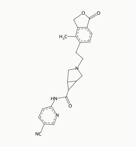 Cc1c(CCN2CC3C(C2)C3C(=O)Nc2ccc(C#N)cn2)ccc2c1COC2=O